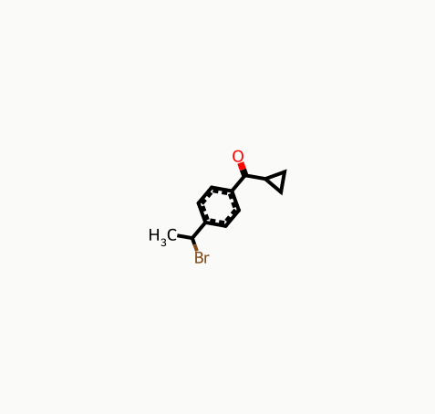 CC(Br)c1ccc(C(=O)C2CC2)cc1